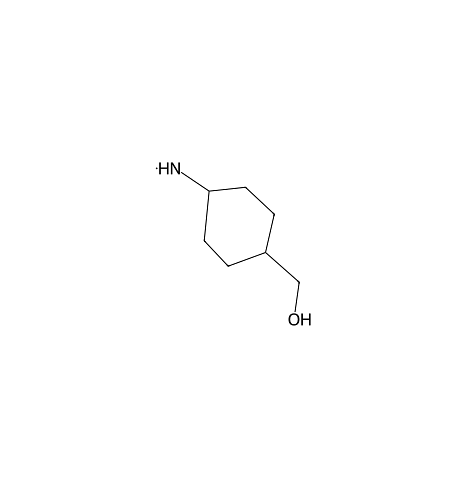 [NH]C1CCC(CO)CC1